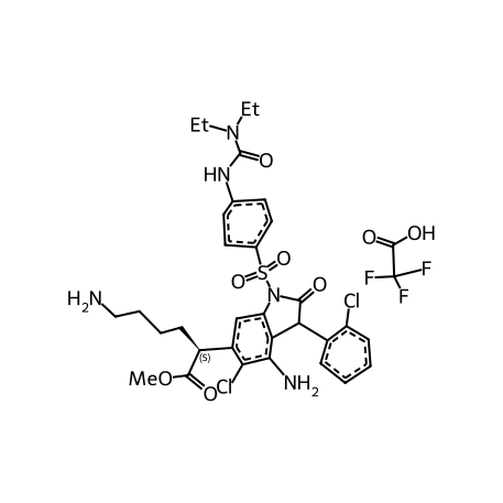 CCN(CC)C(=O)Nc1ccc(S(=O)(=O)N2C(=O)C(c3ccccc3Cl)c3c2cc([C@H](CCCCN)C(=O)OC)c(Cl)c3N)cc1.O=C(O)C(F)(F)F